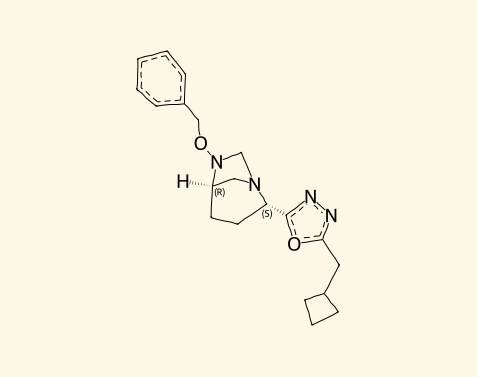 c1ccc(CON2CN3C[C@H]2CC[C@H]3c2nnc(CC3CCC3)o2)cc1